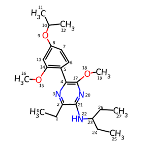 CCc1nc(-c2ccc(OC(C)C)cc2OC)c(OC)nc1NC(CC)CC